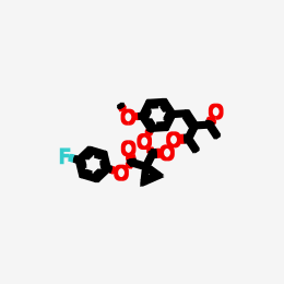 COc1ccc(C=C(C(C)=O)C(C)=O)cc1OC(=O)C1(C(=O)Oc2ccc(F)cc2)CC1